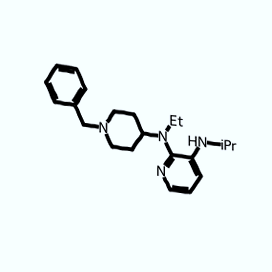 CCN(c1ncccc1NC(C)C)C1CCN(Cc2ccccc2)CC1